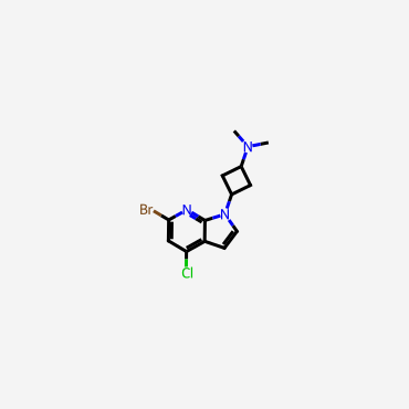 CN(C)C1CC(n2ccc3c(Cl)cc(Br)nc32)C1